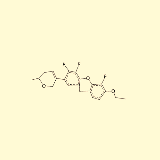 CCOc1ccc2c(c1F)Oc1c(cc(C3=CCC(C)OC3)c(F)c1F)C2